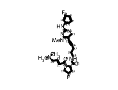 CNc1nc(Nc2cccc(F)c2)ncc1C#CCCCNC(=O)[C@@H]1C[C@H](F)CN1C(=O)C=CCN(C)C